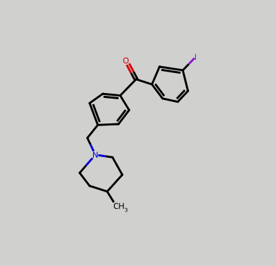 CC1CCN(Cc2ccc(C(=O)c3cccc(I)c3)cc2)CC1